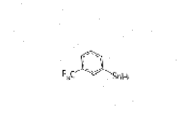 FC(F)(F)c1ccc[c]([SnH])c1